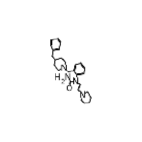 NC(=O)N(CCN1CCCCC1)c1ccccc1CN1CCC(Cc2ccccc2)CC1